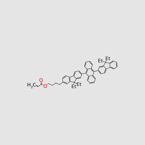 C=CC(=O)OCCCCc1ccc2c(c1)C(CC)(CC)c1cc(-c3c4ccccc4c(-c4ccc5c(c4)C(CC)(CC)c4ccccc4-5)c4ccccc34)ccc1-2